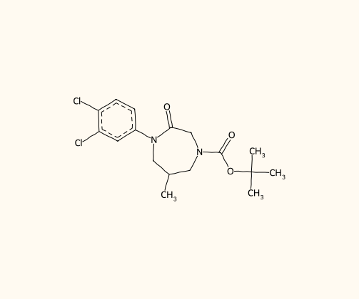 CC1CN(C(=O)OC(C)(C)C)CC(=O)N(c2ccc(Cl)c(Cl)c2)C1